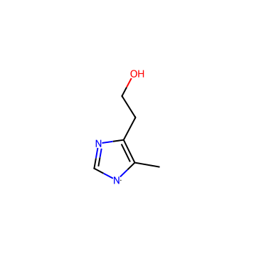 CC1=C(CCO)N=C[N]1